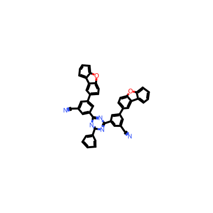 N#Cc1cc(-c2ccc3oc4ccccc4c3c2)cc(-c2nc(-c3ccccc3)nc(-c3cc(C#N)cc(-c4ccc5oc6ccccc6c5c4)c3)n2)c1